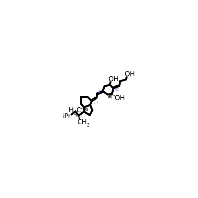 CC(C)C[C@H](C)C1CCC2/C(=C/C=C3/CC(O)/C(=C\CCO)[C@H](O)C3)CCC[C@@]21C